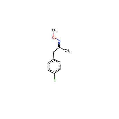 CO/N=C(/C)Cc1ccc(Cl)cc1